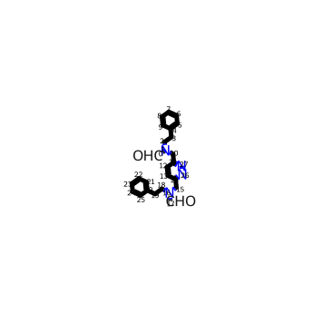 O=CN(CCc1ccccc1)Cc1ccc(CN(C=O)CCc2ccccc2)nn1